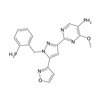 COc1nc(-c2cc(-c3ccon3)n(Cc3ccccc3P)n2)ncc1P